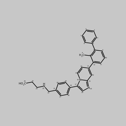 Cc1c(-c2ccccc2)cccc1-c1ccn2c(-c3ccc(CNCCC(=O)O)cc3)cnc2c1